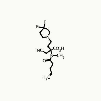 C=CCCC(=O)N(C)[C@](CC#N)(CCN1CCC(F)(F)CC1)C(=O)O